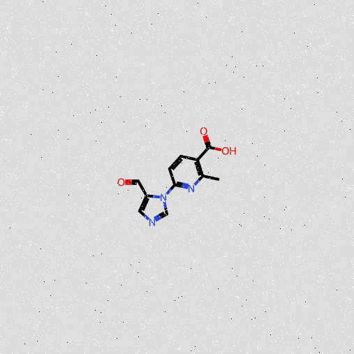 Cc1nc(-n2cncc2C=O)ccc1C(=O)O